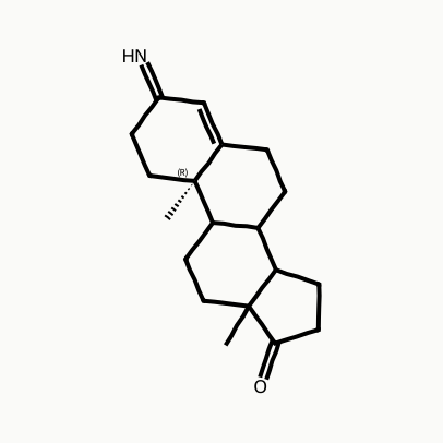 CC12CCC3C(CCC4=CC(=N)CC[C@@]43C)C1CCC2=O